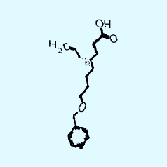 C=CC[C@@H](CCCCOCc1ccccc1)CCC(=O)O